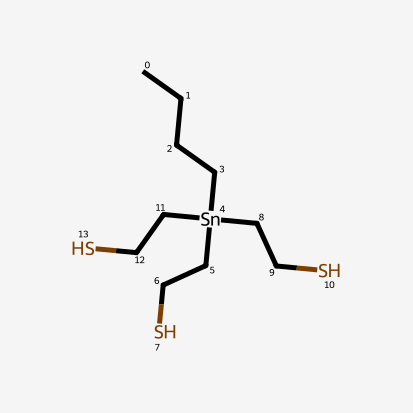 CCC[CH2][Sn]([CH2]CS)([CH2]CS)[CH2]CS